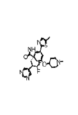 Cc1cnc(C2=C[C@](CC(c3cncnc3)C(F)F)(C(N)=O)CC(OC3CCN(C)CC3)=C2)s1